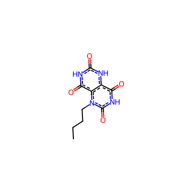 CCCCn1c(=O)[nH]c(=O)c2[nH]c(=O)[nH]c(=O)c21